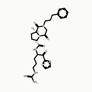 N=C(N)NCCCC(NC(=O)[C@@H]1CC[C@H]2C(=O)N(CCCc3ccccc3)CC(=O)N12)C(=O)c1nccs1